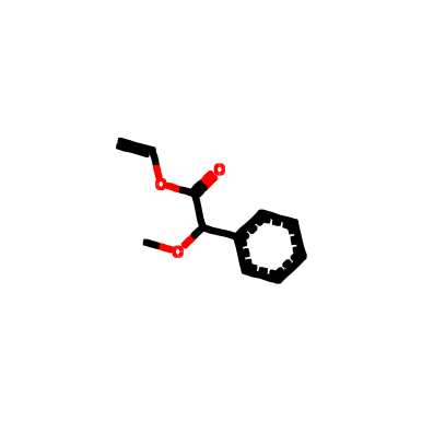 C=COC(=O)C(OC)c1ccccc1